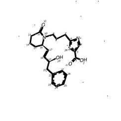 O=C(O)c1cnc(CCCN2C(=O)CCC[C@@H]2C=C[C@@H](O)Cc2ccccc2)s1